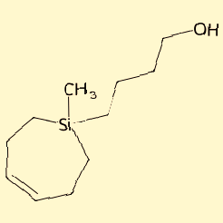 C[Si]1(CCCCO)CCC=CCC1